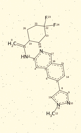 C=C(Nc1cc2cc(-c3cnn(C)c3)ccc2cn1)C1CCC(F)(F)CC1